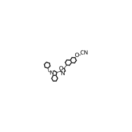 N#CCOc1ccc2cc(-c3cnc(-c4cn(Cc5ccccc5)c5ccccc45)o3)ccc2c1